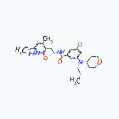 CCCN(c1cc(Cl)cc(C(=O)NCCc2c(C)cc(C)[nH]c2=O)c1)C1CCOCC1